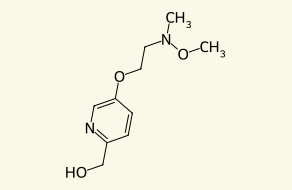 CON(C)CCOc1ccc(CO)nc1